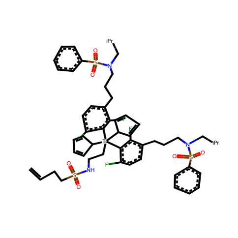 C=CCCS(=O)(=O)NC[CH2][Ti]([c]1c(F)ccc(CCCN(CC(C)C)S(=O)(=O)c2ccccc2)c1F)([c]1c(F)ccc(CCCN(CC(C)C)S(=O)(=O)c2ccccc2)c1F)([CH]1C=CC=C1)[CH]1C=CC=C1